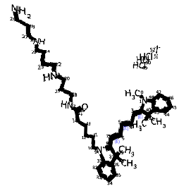 CN1/C(=C/C=C/C=C/C2=[N+](CCCCCC(=O)NCCCNCCCCNCCCN)c3ccccc3C2(C)C)C(C)(C)c2ccccc21.Cl.Cl.Cl.[I-]